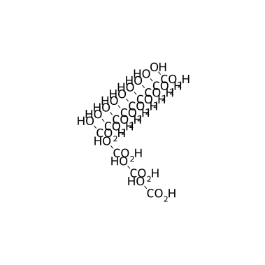 O=C(O)O.O=C(O)O.O=C(O)O.O=C(O)O.O=C(O)O.O=C(O)O.O=C(O)O.O=C(O)O.O=C(O)O.O=C(O)O.O=C(O)O.O=C(O)O